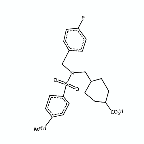 CC(=O)Nc1ccc(S(=O)(=O)N(Cc2ccc(F)cc2)CC2CCC(C(=O)O)CC2)cc1